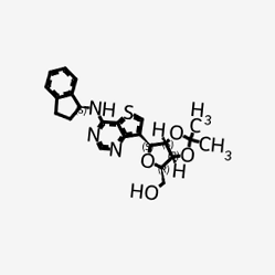 CC1(C)O[C@@H]2[C@H](O1)[C@@H](CO)O[C@H]2c1csc2c(N[C@H]3CCc4ccccc43)ncnc12